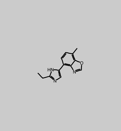 CCc1ncc(-c2ccc(C)c3ocnc23)[nH]1